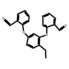 CCc1ccc(Oc2ccccc2C=O)cc1Oc1ccccc1C=O